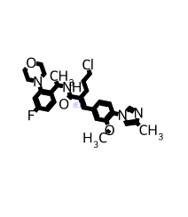 COc1cc(/C=C(\CCCCl)C(=O)NC(C)c2ccc(F)cc2N2CCOCC2)ccc1-n1cnc(C)c1